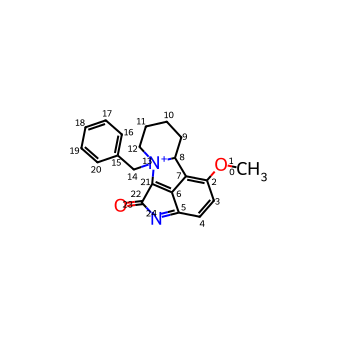 COc1ccc2c3c1C1CCCC[N+]1(Cc1ccccc1)C=3C(=O)N=2